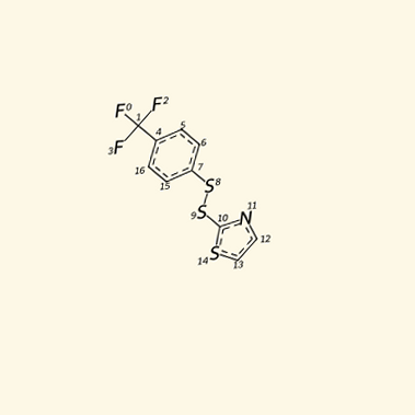 FC(F)(F)c1ccc(SSc2nccs2)cc1